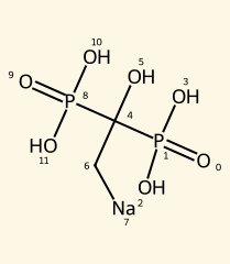 O=P(O)(O)C(O)([CH2][Na])P(=O)(O)O